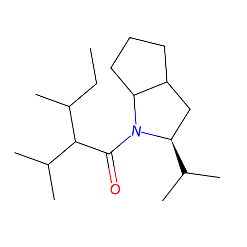 CCC(C)C(C(=O)N1C2CCCC2C[C@H]1C(C)C)C(C)C